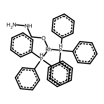 NNC[O][Rh]([PH](c1ccccc1)(c1ccccc1)c1ccccc1)[PH](c1ccccc1)(c1ccccc1)c1ccccc1